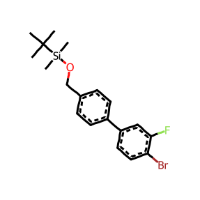 CC(C)(C)[Si](C)(C)OCc1ccc(-c2ccc(Br)c(F)c2)cc1